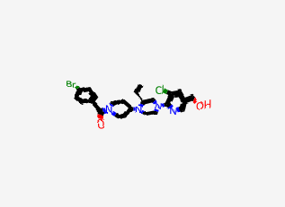 CC[C@H]1CN(c2ncc(CO)cc2Cl)CCN1C1CCN(C(=O)c2ccc(Br)cc2)CC1